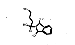 CCCCCCCCCCCCCC(O)(CC)N1C(O)c2ccccc2C1C=O